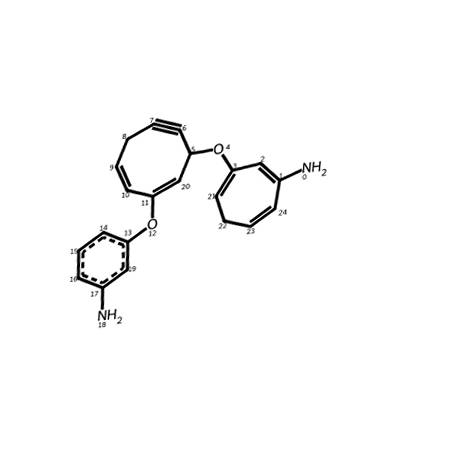 NC1=CC(OC2C#CC/C=C\C(Oc3cccc(N)c3)=C/2)=CCC=C1